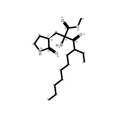 CCCCCCCC(CC)C(=O)C(N)(C[C@@H]1CCNC1=O)C(=O)OC